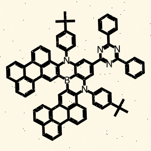 CC(C)(C)c1ccc(N2c3cc(-c4nc(-c5ccccc5)nc(-c5ccccc5)n4)cc4c3B(c3cc5c6cccc7cccc(c8cccc(c32)c85)c76)c2cc3c5cccc6cccc(c7cccc(c2N4c2ccc(C(C)(C)C)cc2)c73)c65)cc1